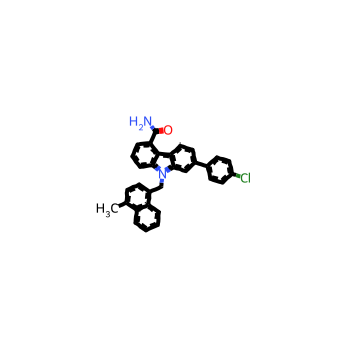 Cc1ccc(Cn2c3cc(-c4ccc(Cl)cc4)c[c]c3c3c(C(N)=O)cccc32)c2ccccc12